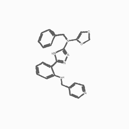 C1=C(N(Cc2ccccc2)c2nnc(-c3ccccc3NCc3ccncc3)[nH]2)OCO1